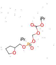 CC(C)OC(=O)OCO[P@@](=O)(OCC1CCCO1)C(C)C